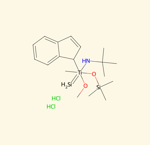 C[O][Ti]([CH3])(=[SiH2])([NH]C(C)(C)C)([O][Si](C)(C)C)[CH]1C=Cc2ccccc21.Cl.Cl